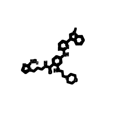 Cn1cc(-c2ccnc(Nc3ccc(C(=O)NCCCn4ccnc4[N+](=O)[O-])c(NCCN4CCOCC4)c3)n2)c2ccccc21